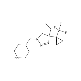 CCC1(C2(C(F)(F)F)CC2)C=NN(CC2CCNCC2)C1